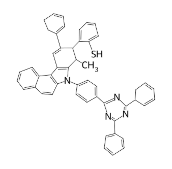 CC1c2c(c3c4ccccc4ccc3n2-c2ccc(-c3nc(-c4ccccc4)nc(C4C=CC=CC4)n3)cc2)C=C(C2=CC=CCC2)C1c1ccccc1S